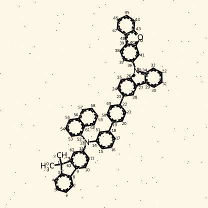 CC1(C)c2ccccc2-c2ccc(N(c3cccc(-c4ccc(-c5ccc6c(c5)c5ccccc5n6-c5ccc6c(c5)oc5ccccc56)cc4)c3)c3cccc4ccccc34)cc21